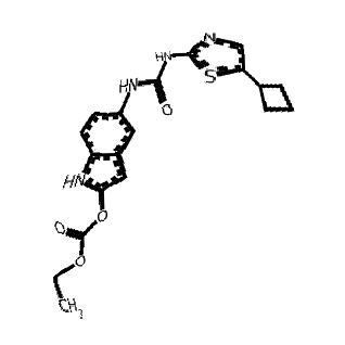 CCOC(=O)Oc1cc2cc(NC(=O)Nc3ncc(C4CCC4)s3)ccc2[nH]1